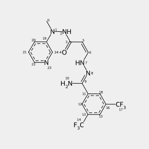 CN(NC(=O)/C=C\N/N=C(\N)c1cc(C(F)(F)F)cc(C(F)(F)F)c1)c1cccnc1